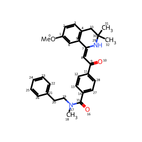 COc1ccc2c(c1)/C(=C/C(=O)c1ccc(C(=O)N(C)CCc3ccccc3)cc1)NC(C)(C)C2